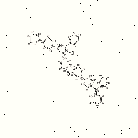 C=N/C(=N\C(=N/Cc1ccccc1)c1ccc(-c2ccccc2)cc1)c1ccc2oc3cc(-c4ccc5c(c4)c4ccccc4n5-c4ccccc4)ccc3c2c1